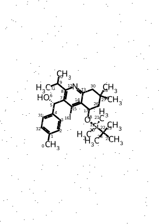 Cc1ccc([C@H](O)c2c(C(C)C)nc3c(c2I)C(O[Si](C)(C)C(C)(C)C)CC(C)(C)C3)cc1